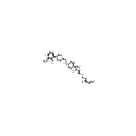 CC(C)(C)NCCCCCC(=O)N[C@H]1CC[C@H](CCN2CCN(c3cccc(Cl)c3Cl)CC2)CC1